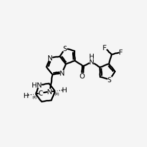 O=C(Nc1cscc1C(F)F)c1csc2ncc(N3C[C@H]4CC[C@@H]3CN4)nc12